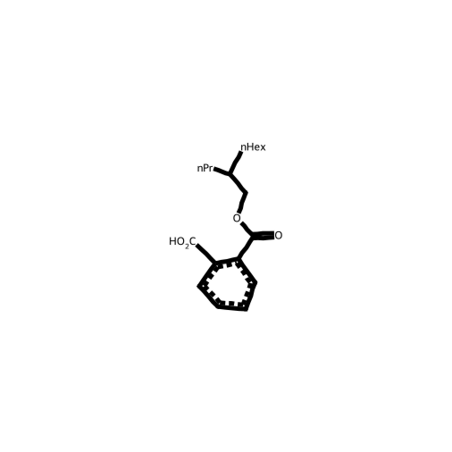 CCCCCCC(CCC)COC(=O)c1ccccc1C(=O)O